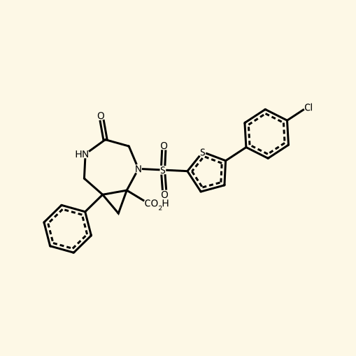 O=C1CN(S(=O)(=O)c2ccc(-c3ccc(Cl)cc3)s2)C2(C(=O)O)CC2(c2ccccc2)CN1